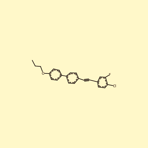 CCCOc1ccc(-c2ccc(C#Cc3ccc(Cl)c(F)c3)cc2)cc1